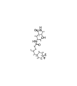 CC(C[CH]C(=O)N[C@H](CO)C[C@@H]1CCNC1=O)CC1CCC(F)(F)CC1